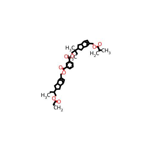 C=CC(=O)OCC(CC)C1CC2C3CC(COC(=O)c4cccc(C(=O)OCC(C)(CC)C5CC6C7CC(COC(=O)C(=C)C)C(C7)C6C5)c4)C(C3)C2C1